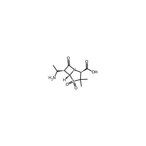 CC(N)[C@H]1C(=O)N2[C@@H](C(=O)O)C(C)(C)S(=O)(=O)[C@H]12